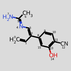 C=C/C(=C\N=C(/C)N)c1ccc(C#N)c(O)c1